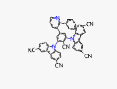 N#Cc1ccc2c(c1)c1cc(C#N)ccc1n2-c1cc(-c2cccnc2-c2ccccc2)cc(-n2c3ccc(C#N)cc3c3cc(C#N)ccc32)c1C#N